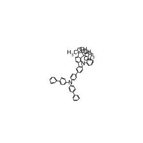 CC1(C)c2ccc3c4cc(-c5ccc(N(c6ccc(-c7ccccc7)cc6)c6ccc(-c7ccccc7)cc6)cc5)ccc4n(-c4ccccc4)c3c2C(C)(C)C1(C)C